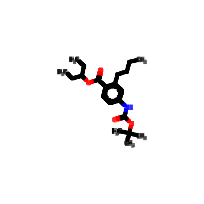 CCCCc1cc(NC(=O)OC(C)(C)C)ccc1C(=O)OC(CC)CC